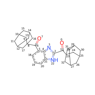 O=C(c1nc2c(C(=O)C34CC5CC(CC(C5)C3)C4)cccc2[nH]1)C12CC3CC(CC(C3)C1)C2